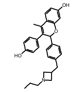 CCCN1CC(Cc2ccc(C3Oc4cc(O)ccc4C(C)=C3c3ccc(O)cc3)cc2)C1